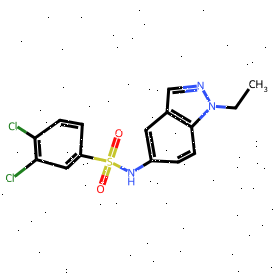 CCn1ncc2cc(NS(=O)(=O)c3ccc(Cl)c(Cl)c3)ccc21